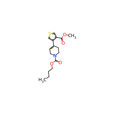 CCCCOC(=O)N1CC=C(c2cscc2C(=O)OC)CC1